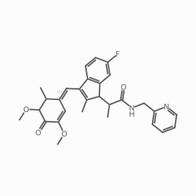 COC1=C/C(=C\C2=C(C)C(C(C)C(=O)NCc3ccccn3)c3cc(F)ccc32)C(C)C(OC)C1=O